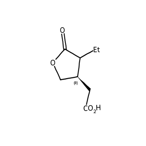 CCC1C(=O)OC[C@@H]1CC(=O)O